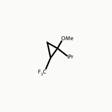 COC1(C(C)C)C[C]1C(F)(F)F